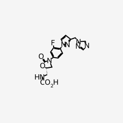 O=C(O)NC[C@H]1CN(c2ccc(-n3ccc(Cn4cncn4)n3)c(F)c2)C(=O)O1